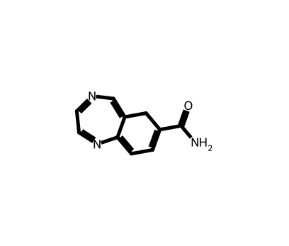 NC(=O)C1=CC=C2N=CC=NC=C2C1